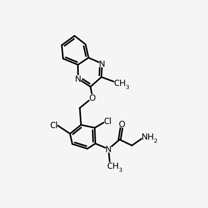 Cc1nc2ccccc2nc1OCc1c(Cl)ccc(N(C)C(=O)CN)c1Cl